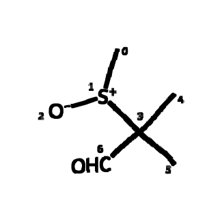 C[S+]([O-])C(C)(C)C=O